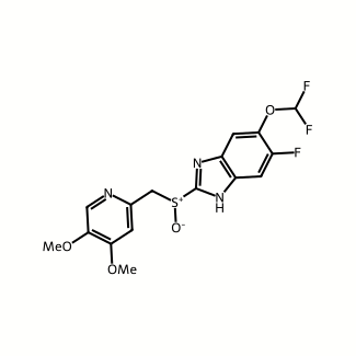 COc1cnc(C[S+]([O-])c2nc3cc(OC(F)F)c(F)cc3[nH]2)cc1OC